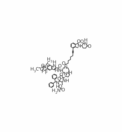 CCOP(=O)(OCC)C(F)(F)c1ccc2[nH]c(C(=O)N[C@H]3CN(C(=O)CCCCCC#Cc4cccc5c4CN(C4CCC(=O)NC4=O)C5=O)CC[C@H]4CC[C@@H](C(=O)NC(COC(N)=O)C(=O)NC(c5ccccc5)c5ccccc5)N4C3=O)cc2c1